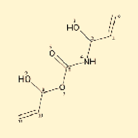 C=CC(O)NC(=O)OC(O)C=C